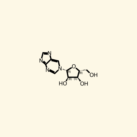 OC[C@H]1O[C@@H](n2cnc3ncnc-3c2)[C@H](O)[C@@H]1O